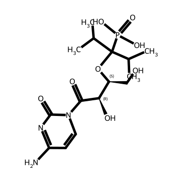 CC(C)C(O[C@@H](CO)[C@@H](O)C(=O)n1ccc(N)nc1=O)(C(C)C)P(=O)(O)O